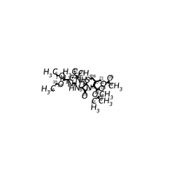 CCOC(CN=C(NC1C(=O)N2C(C(=O)OC(C)(C)C)=C(COC(C)=O)CS[C@@H]12)N[Si](C)(C)C)OCC